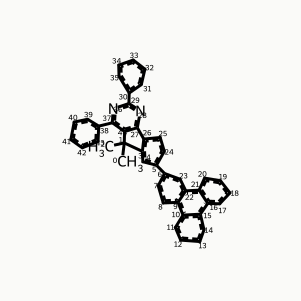 CC1(C)c2cc(-c3ccc4c5ccccc5c5ccccc5c4c3)ccc2-c2nc(-c3ccccc3)nc(-c3ccccc3)c21